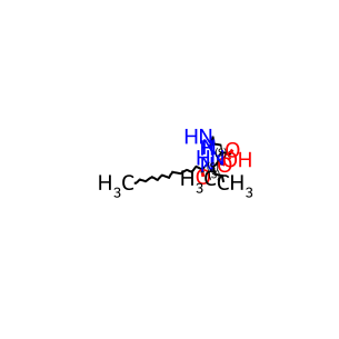 CCCCCCCCCCCCCC(=O)N[C@H](C(=O)N[C@@H](Cc1c[nH]cn1)C(=O)O)[C@@H](C)CC